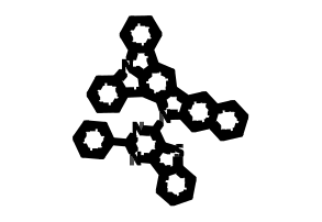 c1ccc(-c2nc(-n3c4cc5ccccc5cc4c4cc5c6ccccc6n6c7ccccc7c(c43)c56)c3sc4ccccc4c3n2)cc1